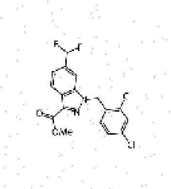 COC(=O)c1nn(Cc2ccc(Cl)cc2Cl)c2cc(C(F)F)ccc12